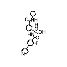 O=C(NC1CCCC1)c1cccc([C@](O)(CO)NC(=O)c2ccc(-c3ccncc3)cc2F)c1